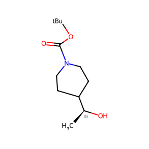 C[C@H](O)C1CCN(C(=O)OC(C)(C)C)CC1